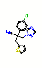 N#CC(Cc1cccs1)(Cn1cncn1)c1ccc(Cl)cc1